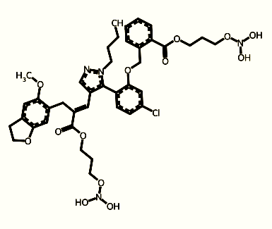 CCCCn1ncc(/C=C(\Cc2cc3c(cc2OC)CCO3)C(=O)OCCCON(O)O)c1-c1ccc(Cl)cc1OCc1ccccc1C(=O)OCCCON(O)O